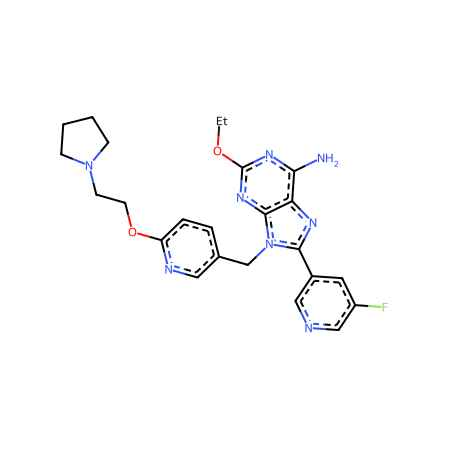 CCOc1nc(N)c2nc(-c3cncc(F)c3)n(Cc3ccc(OCCN4CCCC4)nc3)c2n1